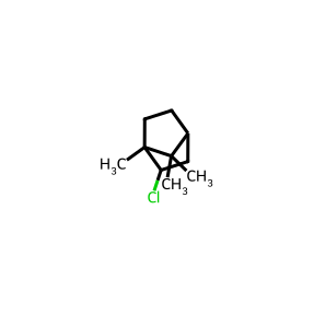 CC1(C)C2CCC1(C)C(Cl)C2